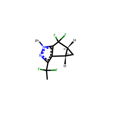 CC(C)n1nc(C(C)(F)F)c2c1C(F)(F)[C@@H]1C[C@H]21